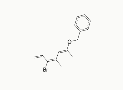 C=C/C(Br)=C(C)\C=C(/C)OCc1ccccc1